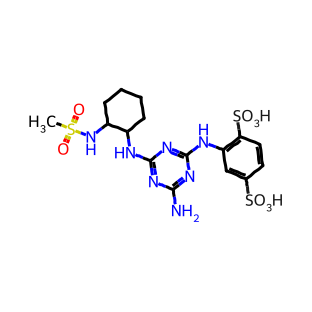 CS(=O)(=O)NC1CCCCC1Nc1nc(N)nc(Nc2cc(S(=O)(=O)O)ccc2S(=O)(=O)O)n1